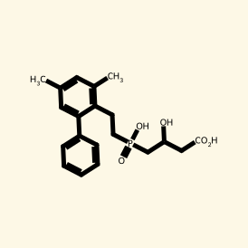 Cc1cc(C)c(CCP(=O)(O)CC(O)CC(=O)O)c(-c2ccccc2)c1